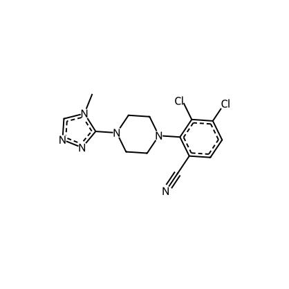 Cn1cnnc1N1CCN(c2c(C#N)ccc(Cl)c2Cl)CC1